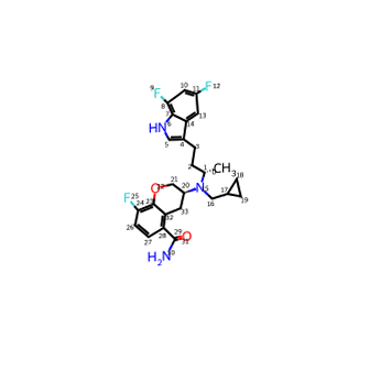 C[C@@H](CCc1c[nH]c2c(F)cc(F)cc12)N(CC1CC1)[C@@H]1COc2c(F)ccc(C(N)=O)c2C1